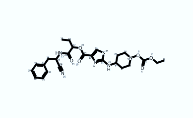 CCOC(=O)ON1CCC(Nc2nc(C(=O)OC(CC)C(=O)NC(C#N)Cc3ccccc3)cs2)CC1